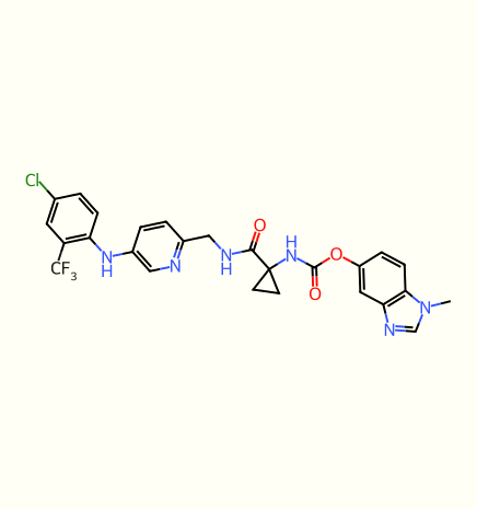 Cn1cnc2cc(OC(=O)NC3(C(=O)NCc4ccc(Nc5ccc(Cl)cc5C(F)(F)F)cn4)CC3)ccc21